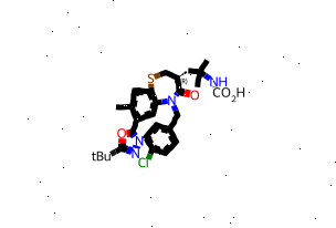 Cc1cc2c(cc1-c1nnc(C(C)(C)C)o1)N(Cc1ccc(Cl)cc1)C(=O)[C@@H](CC(C)(C)NC(=O)O)CS2